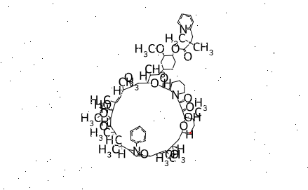 CO[C@H]1C[C@@H]2CC[C@@H](C)[C@@](O)(O2)C(=O)C(=O)N2CCCC[C@H]2C(=O)O[C@H]([C@H](C)C[C@@H]2CC[C@@H](OC(=O)C(C)(C)Cc3ccccn3)[C@H](OC)C2)CC(=O)[C@H](C)/C=C(\C)[C@@H](O)[C@@H](OC)C(=O)[C@H](C)C[C@H](C)C2C=CC(/C=C/1C)ON2c1ccccc1